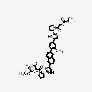 COC(=O)NCC(=O)N1CCC[C@H]1c1ncc(-c2ccc(-c3ccc4cc(-c5c[nH]c([C@@H]6CCCN6C(=O)[C@@H](NC(=O)OC)C(C)C)n5)ccc4c3)c(C)c2)[nH]1